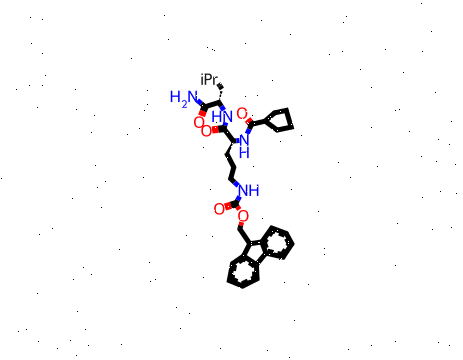 CC(C)C[C@H](NC(=O)[C@H](CCCNC(=O)OCC1c2ccccc2-c2ccccc21)NC(=O)C1CCCC1)C(N)=O